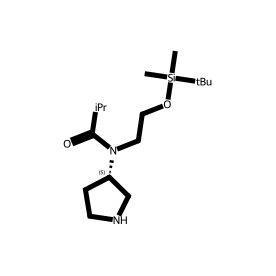 CC(C)C(=O)N(CCO[Si](C)(C)C(C)(C)C)[C@H]1CCNC1